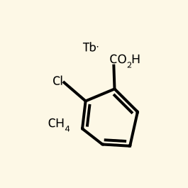 C.O=C(O)c1ccccc1Cl.[Tb]